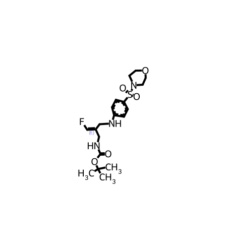 CC(C)(C)OC(=O)NC/C(=C/F)CNc1ccc(S(=O)(=O)N2CCOCC2)cc1